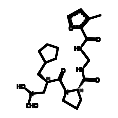 Cc1ccoc1C(=O)NCNC(=O)[C@@H]1CCCN1C(=O)[C@H](CC1CCCC1)CN(O)C=O